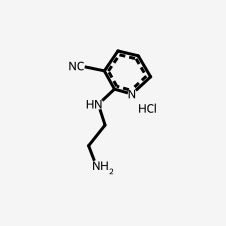 Cl.N#Cc1cccnc1NCCN